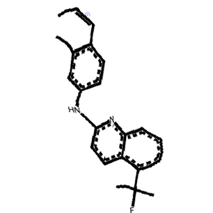 C/C=C\c1ccc(Nc2ccc3c(C(C)(C)F)cccc3n2)cc1C